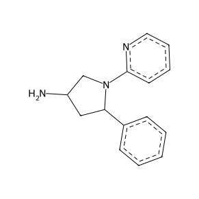 NC1CC(c2ccccc2)N(c2ccccn2)C1